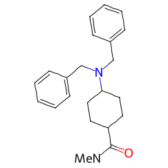 CNC(=O)C1CCC(N(Cc2ccccc2)Cc2ccccc2)CC1